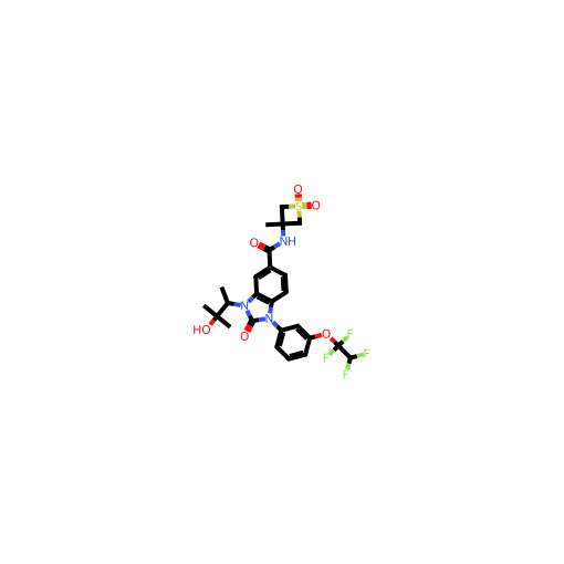 CC(n1c(=O)n(-c2cccc(OC(F)(F)C(F)F)c2)c2ccc(C(=O)NC3(C)CS(=O)(=O)C3)cc21)C(C)(C)O